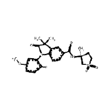 CC1(C)C(=O)N(c2cc(OC(F)(F)F)ccc2F)c2ccc(C(=O)N[C@@]3(C)CCS(=O)(=O)C3)cc21